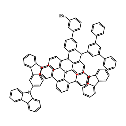 CC(C)(C)c1cccc(-c2ccc3c(c2)N(c2cc(-c4ccccc4)cc(-c4ccccc4)c2)c2cc(-n4c5ccccc5c5ccccc54)cc4c2B3c2ccc(-n3c5ccccc5c5cc(-n6c7ccccc7c7ccccc76)ccc53)cc2N4c2c(-c3ccccc3)cccc2-c2ccccc2)c1